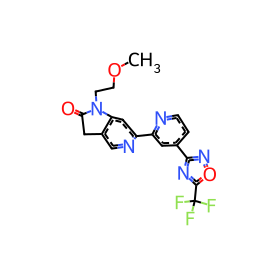 COCCN1C(=O)Cc2cnc(-c3cc(-c4noc(C(F)(F)F)n4)ccn3)cc21